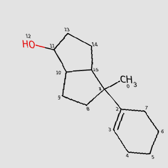 CC1(C2=CCCCC2)CCC2C(O)CCC21